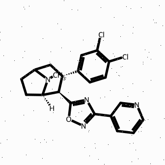 CN1C2CC[C@@H]1[C@H](c1nc(-c3cccnc3)no1)[C@@H](c1ccc(Cl)c(Cl)c1)C2